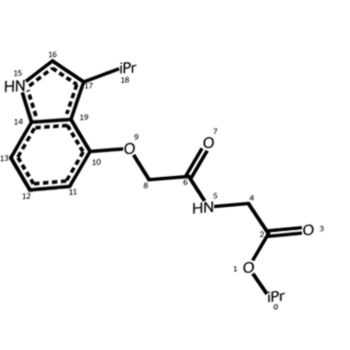 CC(C)OC(=O)CNC(=O)COc1cccc2[nH]cc(C(C)C)c12